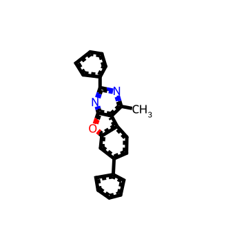 Cc1nc(-c2ccccc2)nc2oc3cc(-c4ccccc4)ccc3c12